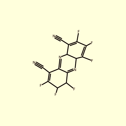 N#CC1=C(F)C(F)C(F)C2=NC3C(F)=C(F)C(F)=C(C#N)C3N=C21